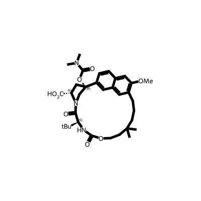 COc1cc2ccc3cc2cc1CCCC(C)(C)CCOC(=O)N[C@@H](C(C)(C)C)C(=O)N1C[C@@]3(OC(=O)N(C)C)C[C@H]1C(=O)O